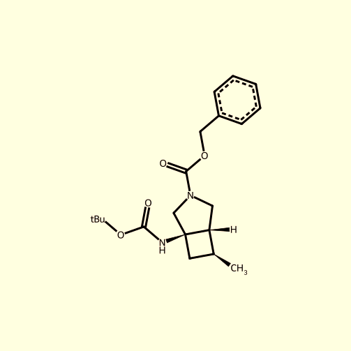 C[C@H]1C[C@]2(NC(=O)OC(C)(C)C)CN(C(=O)OCc3ccccc3)C[C@H]12